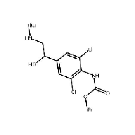 CC(C)OC(=O)Nc1c(Cl)cc(C(O)CNC(C)(C)C)cc1Cl